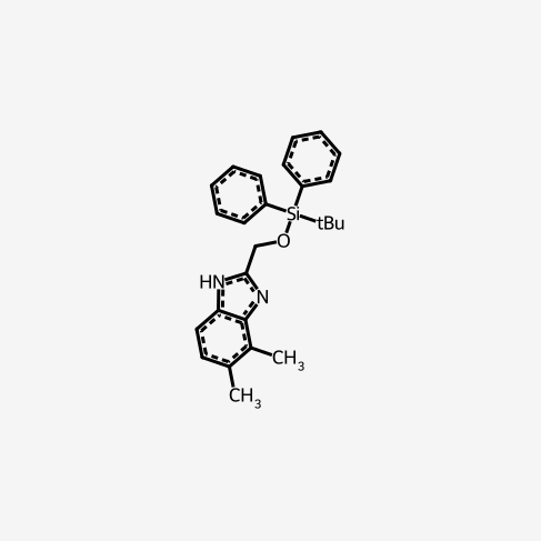 Cc1ccc2[nH]c(CO[Si](c3ccccc3)(c3ccccc3)C(C)(C)C)nc2c1C